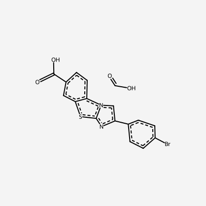 O=C(O)c1ccc2c(c1)sc1nc(-c3ccc(Br)cc3)cn12.O=CO